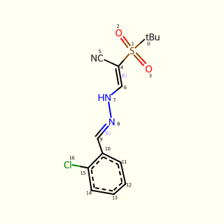 CC(C)(C)S(=O)(=O)/C(C#N)=C/N/N=C/c1ccccc1Cl